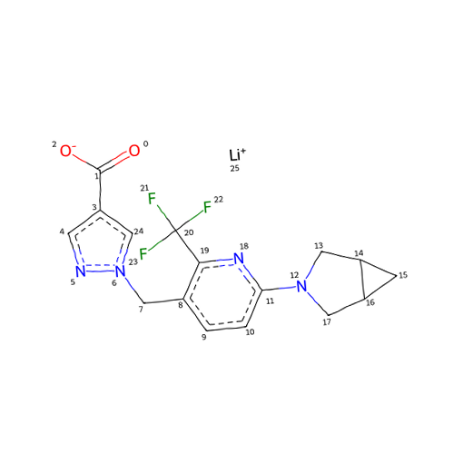 O=C([O-])c1cnn(Cc2ccc(N3CC4CC4C3)nc2C(F)(F)F)c1.[Li+]